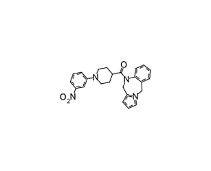 O=C(C1CCN(c2cccc([N+](=O)[O-])c2)CC1)N1Cc2cccn2Cc2ccccc21